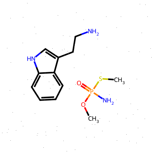 COP(N)(=O)SC.NCCc1c[nH]c2ccccc12